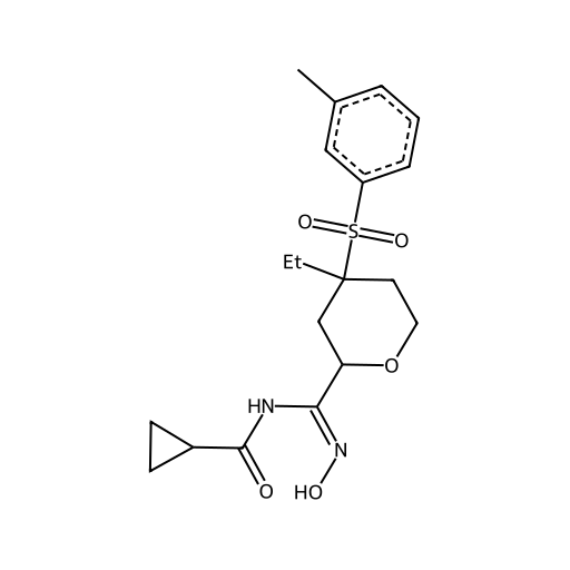 CCC1(S(=O)(=O)c2cccc(C)c2)CCOC(/C(=N/O)NC(=O)C2CC2)C1